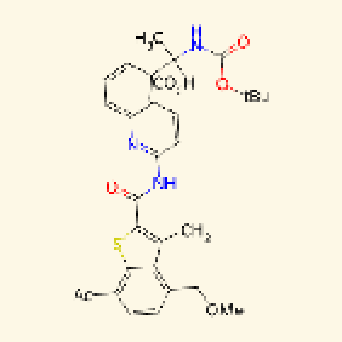 COCc1ccc(C(C)=O)c2sc(C(=O)Nc3ccc4c(C(C)(NC(=O)OC(C)(C)C)C(=O)O)cccc4n3)c(C)c12